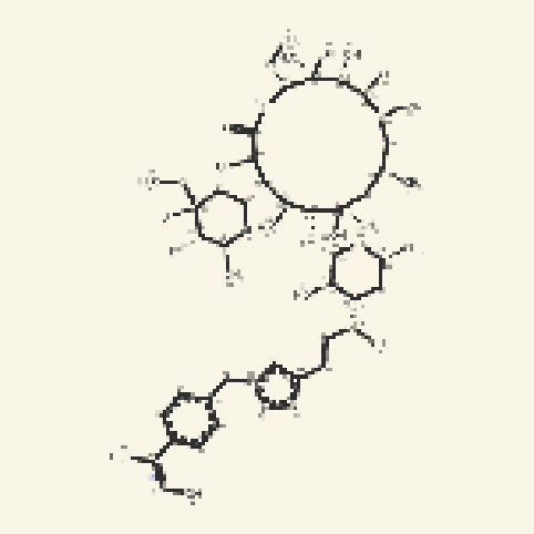 CC[C@H]1OC(=O)[C@H](C)[C@@H](C2C[C@@](C)(OC)[C@@H](O)[C@H](C)O2)[C@H](C)[C@@H](O[C@@H]2O[C@H](C)C[C@H](N(C)CCc3cn(Cc4ccc(/C(C)=N\O)cc4)nn3)[C@H]2O)[C@](C)(O)C[C@@H](C)CN(C)[C@H](C)[C@@H](O)[C@]1(C)O